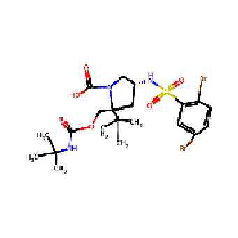 CC(C)(C)NC(=O)OC[C@]1(C(C)(C)C)C[C@@H](NS(=O)(=O)c2cc(Br)ccc2Br)CN1C(=O)O